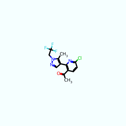 CC(=O)c1ccc(Cl)nc1-c1cnn(CC(F)(F)F)c1C